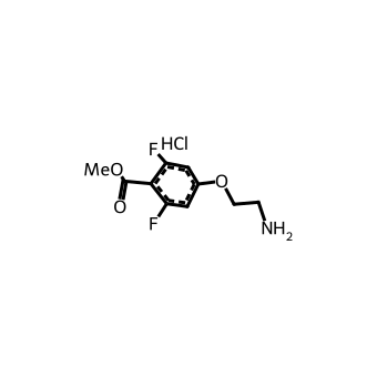 COC(=O)c1c(F)cc(OCCN)cc1F.Cl